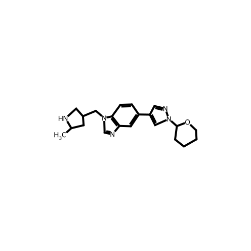 CC1CC(Cn2cnc3cc(-c4cnn(C5CCCCO5)c4)ccc32)CN1